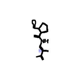 C=C(C)/C(C)=C/NC(=C)C1CCCC1C=O